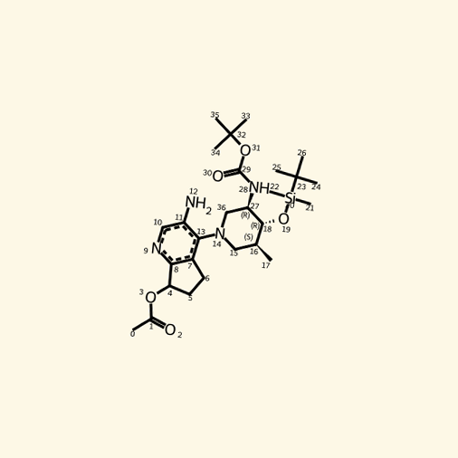 CC(=O)OC1CCc2c1ncc(N)c2N1C[C@H](C)[C@@H](O[Si](C)(C)C(C)(C)C)[C@H](NC(=O)OC(C)(C)C)C1